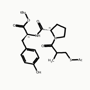 CC(=O)SCC(C)C(=O)N1CCC[C@H]1C(=O)N[C@@H](Cc1ccc(O)cc1)C(=O)OC(C)(C)C